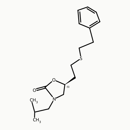 CC(C)CN1C[C@H](CCSCCc2ccccc2)OC1=O